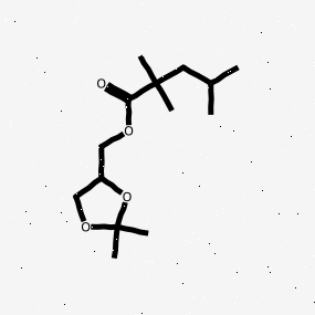 CC(C)CC(C)(C)C(=O)OCC1COC(C)(C)O1